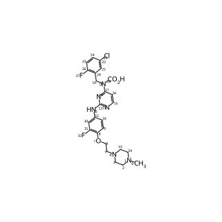 CN1CCN(CCOc2ccc(Nc3nccc(N(Cc4cc(Cl)ccc4F)C(=O)O)n3)cc2F)CC1